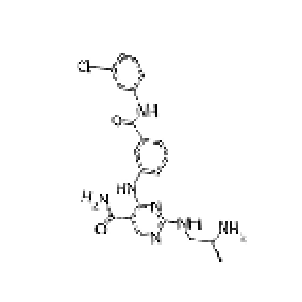 C[C@H](N)CNc1ncc(C(N)=O)c(Nc2cccc(C(=O)Nc3cccc(Cl)c3)c2)n1